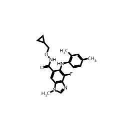 Cc1ccc(Nc2c(C(=O)NOCC3CC3)cc3c(ncn3C)c2F)c(C)c1